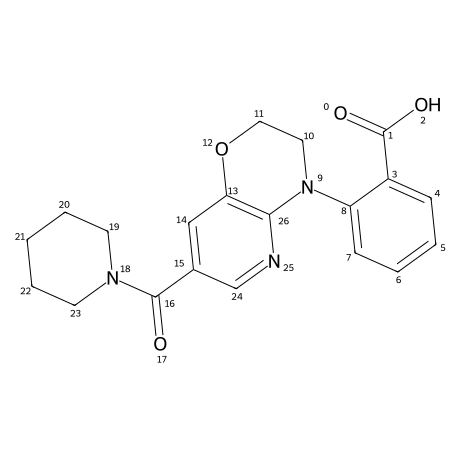 O=C(O)c1ccccc1N1CCOc2cc(C(=O)N3CCCCC3)cnc21